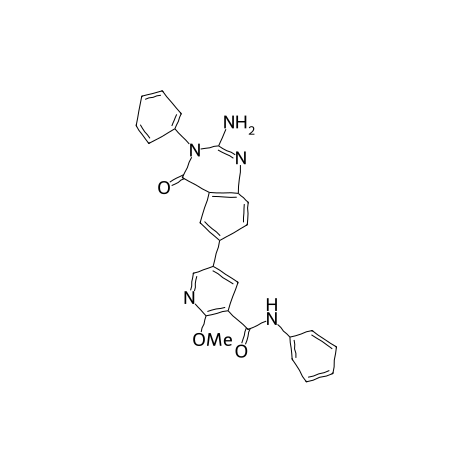 COc1ncc(-c2ccc3nc(N)n(-c4ccccc4)c(=O)c3c2)cc1C(=O)Nc1ccccc1